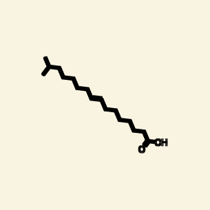 CC(C)CCCCCC=CCCCCCCC(=O)O